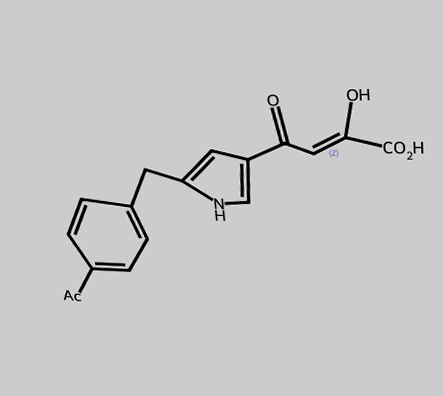 CC(=O)c1ccc(Cc2cc(C(=O)/C=C(\O)C(=O)O)c[nH]2)cc1